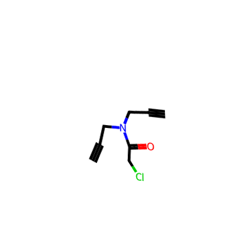 C#CCN(CC#C)C(=O)CCl